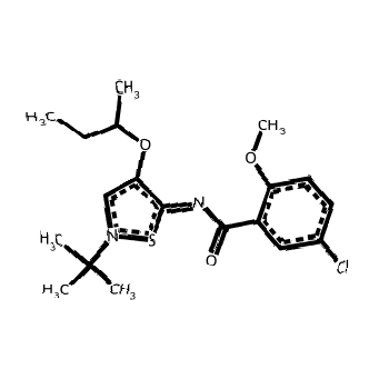 CCC(C)Oc1cn(C(C)(C)C)sc1=NC(=O)c1cc(Cl)ccc1OC